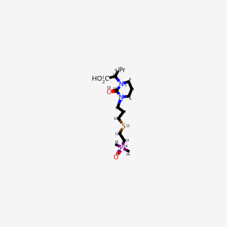 CC(C)C(C(=O)O)N1CCCN(CCCSCCP(C)(C)=O)C1=O